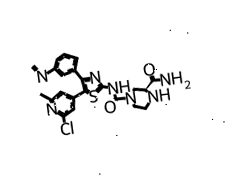 C=Nc1cccc(-c2nc(NC(=O)N3CCN[C@H](C(N)=O)C3)sc2-c2cc(C)nc(Cl)c2)c1